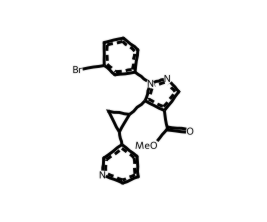 COC(=O)c1cnn(-c2cccc(Br)c2)c1C1CC1c1cccnc1